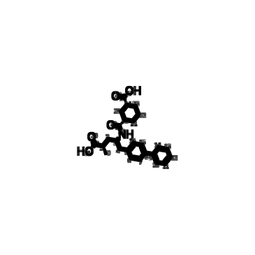 C[C@H](CC(Cc1ccc(-c2ccccc2)cc1)NC(=O)[C@H]1CCC[C@@H](C(=O)O)C1)C(=O)O